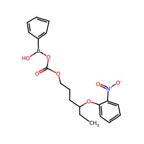 CCC(CCCOC(=O)OB(O)c1ccccc1)Oc1ccccc1[N+](=O)[O-]